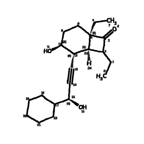 CCC1C(=O)[C@]2(CC)CC[C@H](O)[C@@H](C#C[C@@H](O)C3CCCCC3)[C@H]12